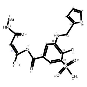 C/C(=C/C(=O)NC(C)(C)C)OC(=O)c1cc(NCc2ccco2)c(Cl)c(S(C)(=O)=O)c1